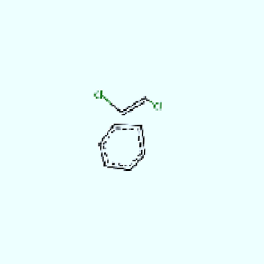 ClC=CCl.c1ccccc1